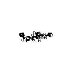 COc1cnc(-c2nc(-c3ccoc3)n[nH]2)c2[nH]cc(C(=O)C(=O)N3CCN(C(=O)c4ccccc4)[C@H](C)C3)c12